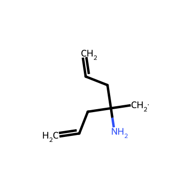 [CH2]C(N)(CC=C)CC=C